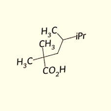 CC(C)C(C)CC(C)(C)C(=O)O